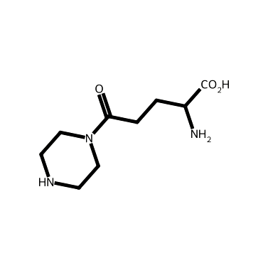 NC(CCC(=O)N1CCNCC1)C(=O)O